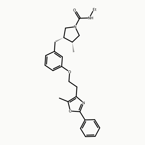 CCNC(=O)N1C[C@@H](Cc2cccc(OCCc3nc(-c4ccccc4)oc3C)c2)[C@@H](C)C1